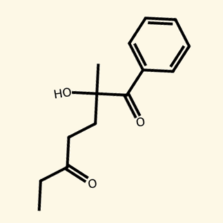 CCC(=O)CCC(C)(O)C(=O)c1ccccc1